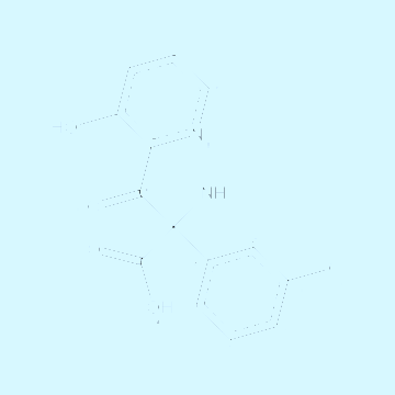 NC(C(=O)O)(C(=O)c1ncccc1O)c1cccc(Cl)c1